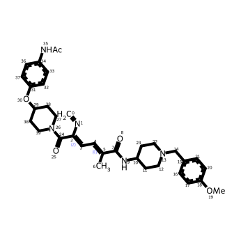 C=N/C(=C\C=C(/C)C(=O)NC1CCN(Cc2ccc(OC)cc2)CC1)C(=O)N1CCC(Oc2ccc(NC(C)=O)cc2)CC1